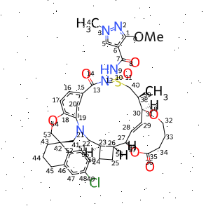 COc1nn(C)cc1C(=O)N[S@@]1(=O)=NC(=O)c2ccc3c(c2)N(C[C@@H]2CC[C@H]2[C@@H]2/C=C/[C@H](OCCCC(=O)O2)[C@H](C)C1)C[C@@]1(CCCc2cc(Cl)ccc21)CO3